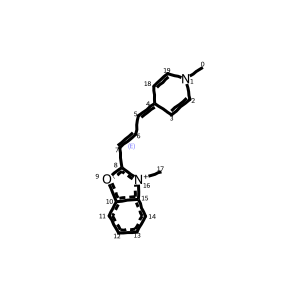 CN1C=CC(=C/C=C/c2oc3ccccc3[n+]2C)C=C1